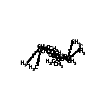 C=C(C)[C@@H]1CC[C@]2(COC(=O)C[N+](C)(CCCCCCCCCC)CCCCCCCCCC)CC[C@]3(C)C(CCC4[C@@]5(C)CC[C@H](OC(=O)C[N+](C)(CCCCCCCCCC)CCCCCCCCCC)C(C)(C)C5CC[C@]43C)C12